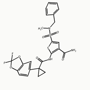 CN(Cc1ccccc1)S(=O)(=O)c1cc(C(N)=O)c(NC(=O)C2(c3ccc4c(c3)OC(F)(F)O4)CC2)s1